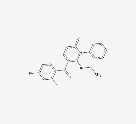 CCNc1c(C(=O)c2ccc(F)cc2F)ccc(=O)n1-c1ccccc1